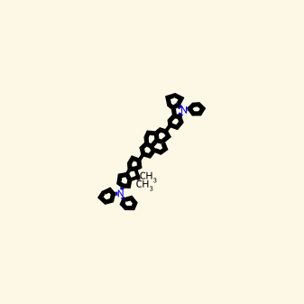 CC1(C)c2cc(-c3cc4ccc5cc(-c6ccc7c(c6)c6ccccc6n7-c6ccccc6)cc6ccc(c3)c4c56)ccc2-c2ccc(N(c3ccccc3)c3ccccc3)cc21